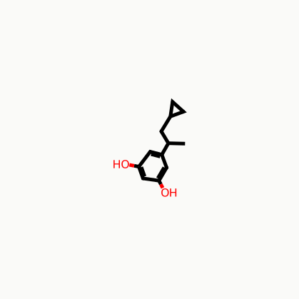 CC(CC1CC1)c1cc(O)cc(O)c1